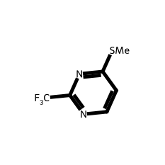 CSc1ccnc(C(F)(F)F)n1